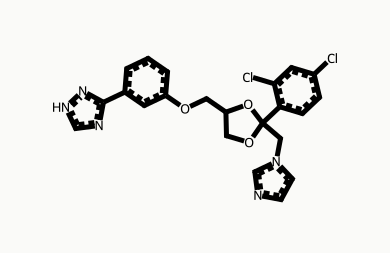 Clc1ccc(C2(Cn3ccnc3)OCC(COc3cccc(-c4nc[nH]n4)c3)O2)c(Cl)c1